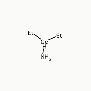 C[CH2][GeH]([NH2])[CH2]C